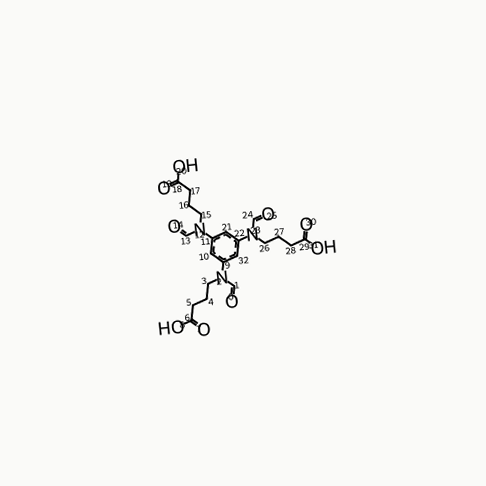 O=CN(CCCC(=O)O)c1cc(N(C=O)CCCC(=O)O)cc(N(C=O)CCCC(=O)O)c1